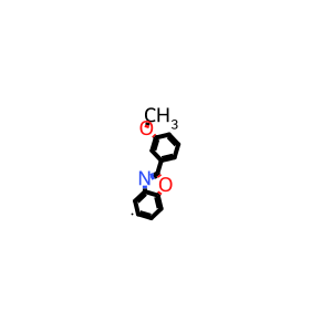 COc1cccc(-c2nc3c[c]ccc3o2)c1